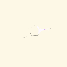 FC1(F)CC12CCN(I)C2